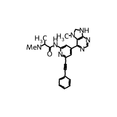 CNC(C)C(=O)Nc1cc(-c2ncnc3c2N(C)CN3)cc(C#Cc2ccccc2)n1